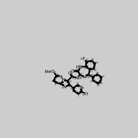 CCc1ccc(-c2nc3ccc(OC)nn3c2C(=O)NC2N=C(c3ccccc3)c3cccc(F)c3NC2=O)cn1